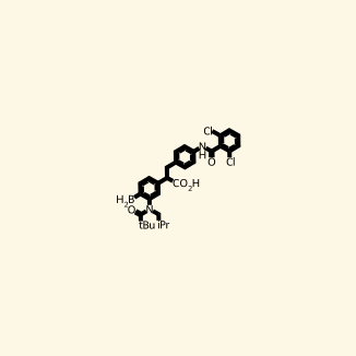 Bc1ccc(C(Cc2ccc(NC(=O)c3c(Cl)cccc3Cl)cc2)C(=O)O)cc1N(CC(C)C)C(=O)C(C)(C)C